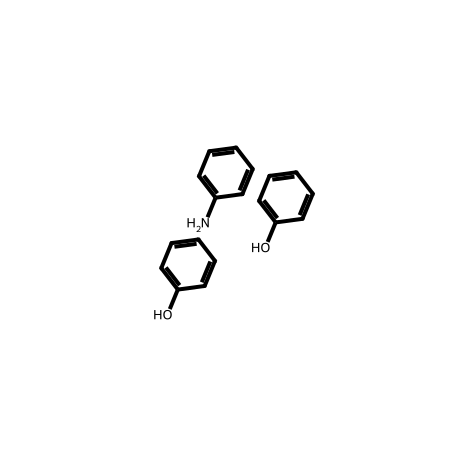 Nc1ccccc1.Oc1ccccc1.Oc1ccccc1